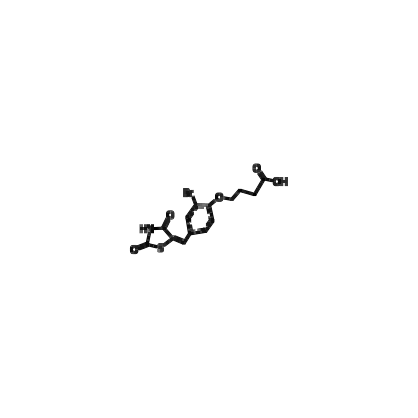 O=C(O)CCCOc1ccc(C=C2SC(=O)NC2=O)cc1Br